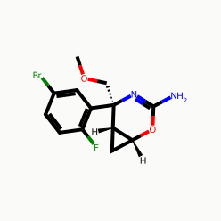 COC[C@]1(c2cc(Br)ccc2F)N=C(N)O[C@@H]2C[C@@H]21